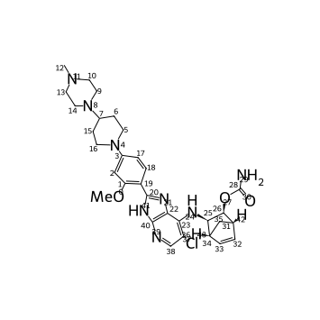 COc1cc(N2CCC(N3CCN(C)CC3)CC2)ccc1-c1nc2c(N[C@H]3[C@@H](OC(N)=O)[C@@H]4C=C[C@H]3C4)c(Cl)cnc2[nH]1